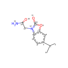 CC(C)c1ccc2c(c1)oc(=O)n2CC(N)=O